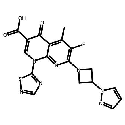 Cc1c(F)c(N2CC(n3cccn3)C2)nc2c1c(=O)c(C(=O)O)cn2-c1ncns1